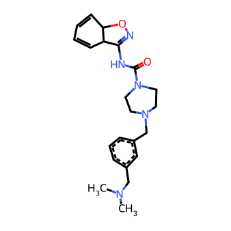 CN(C)Cc1cccc(CN2CCN(C(=O)NC3=NOC4C=CC=CC34)CC2)c1